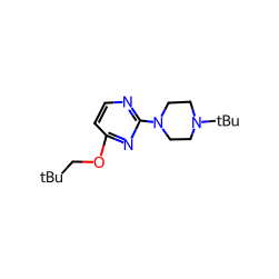 CC(C)(C)COc1ccnc(N2CCN(C(C)(C)C)CC2)n1